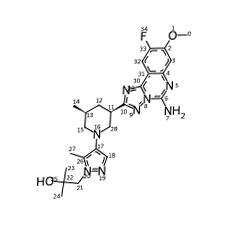 COc1cc2nc(N)n3nc([C@@H]4C[C@H](C)CN(c5cnn(CC(C)(C)O)c5C)C4)nc3c2cc1F